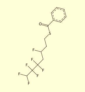 O=C(SCCC(F)CC(F)(F)C(F)(F)C(F)F)c1ccccc1